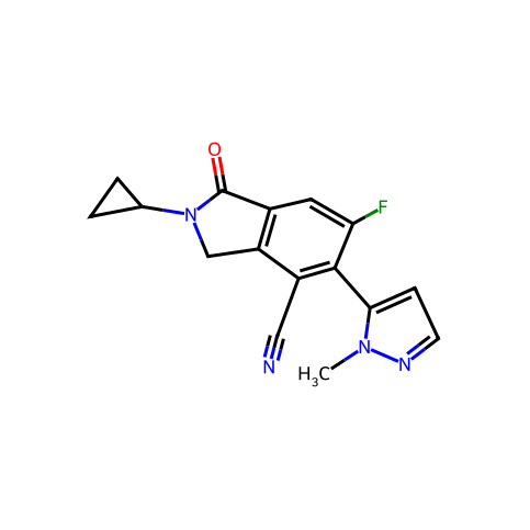 Cn1nccc1-c1c(F)cc2c(c1C#N)CN(C1CC1)C2=O